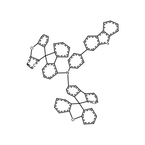 c1ccc2c(c1)Oc1ccccc1C21c2ccccc2-c2cc(N(c3ccc(-c4ccc5c(c4)sc4ccccc45)cc3)c3cccc4c3-c3ccccc3C43c4ccccc4Oc4ccccc43)ccc21